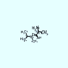 CC(C)N(C)OC(=N)[C@H](C)N